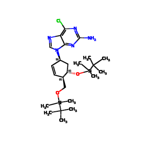 CC(C)(C)[Si](C)(C)OC[C@H]1C=C[C@@H](n2cnc3c(Cl)nc(N)nc32)C[C@@H]1O[Si](C)(C)C(C)(C)C